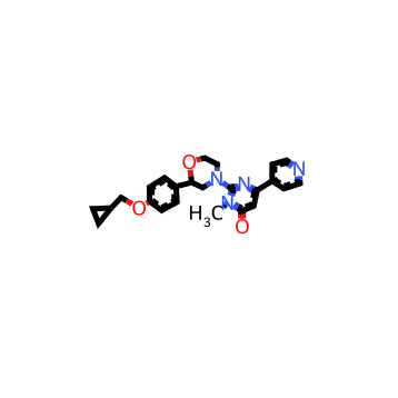 Cn1c(N2CCOC(c3ccc(OCC4CC4)cc3)C2)nc(-c2ccncc2)cc1=O